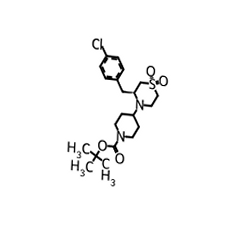 CC(C)(C)OC(=O)N1CCC(N2CCS(=O)(=O)C[C@@H]2Cc2ccc(Cl)cc2)CC1